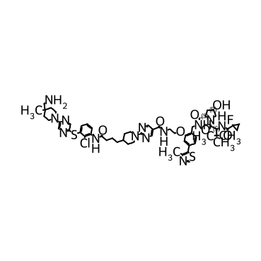 Cc1ncsc1-c1ccc(CNC(=O)[C@@H]2C[C@@H](O)CN2C(=O)[C@@H](NC(=O)C2(F)CC2)C(C)(C)C)c(OCCNC(=O)c2cnc(N3CCC(CCCC(=O)Nc4cccc(Sc5cnc(N6CCC(C)(CN)CC6)cn5)c4Cl)CC3)nc2)c1